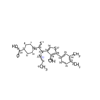 C/C=N/N(C(=S)N1CCC(C(=O)O)CC1)c1csc(-c2ccc(C)c(C)c2)c1O